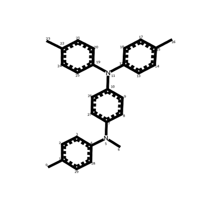 Cc1ccc(N(C)c2ccc(N(c3ccc(C)cc3)c3ccc(C)cc3)cc2)cc1